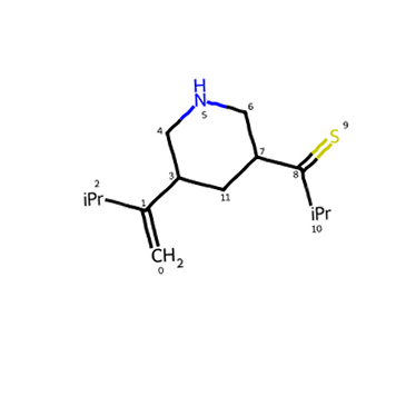 C=C(C(C)C)C1CNCC(C(=S)C(C)C)C1